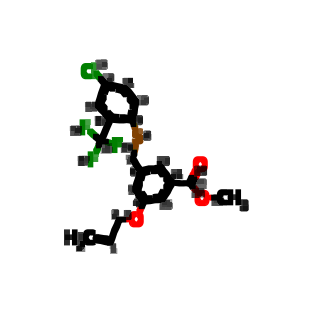 C=CCOc1cc(CSc2ccc(Cl)cc2C(F)(F)F)cc(C(=O)OC)c1